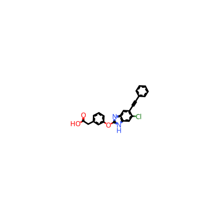 O=C(O)Cc1cccc(Oc2nc3cc(C#Cc4ccccc4)c(Cl)cc3[nH]2)c1